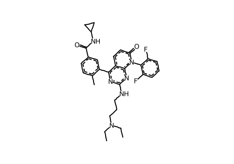 CCN(CC)CCCNc1nc(-c2cc(C(=O)NC3CC3)ccc2C)c2ccc(=O)n(-c3c(F)cccc3F)c2n1